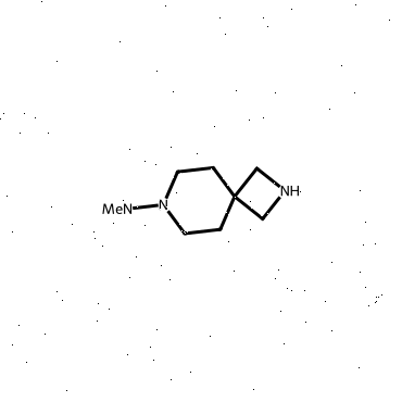 CNN1CCC2(CC1)CNC2